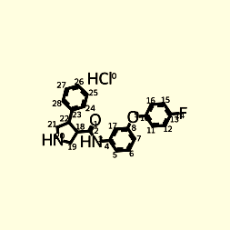 Cl.O=C(Nc1cccc(Oc2ccc(F)cc2)c1)C1CNCC1c1ccccc1